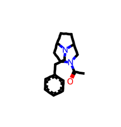 CC(=O)N1CCC2CCC(C1)N2CCc1ccccc1